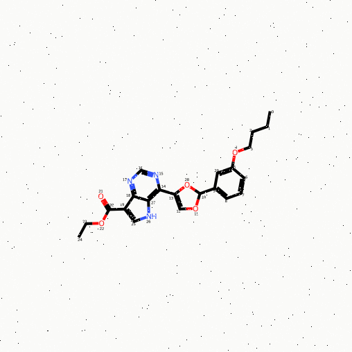 CCCCOc1cccc(C2OC=C(c3ncnc4c(C(=O)OCC)c[nH]c34)O2)c1